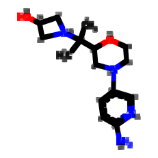 CC(C)(C1CN(c2ccc(N)nc2)CCO1)N1CC(O)C1